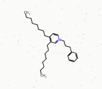 CCCCCCCCc1cc[n+](CCCc2ccccc2)cc1CCCCCCCC